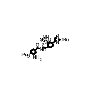 CC(C)Oc1ccc(C(=O)N[C@H](CNS(N)(=O)=O)Cc2ccc(-c3cn(C)c(C(C)(C)C)n3)cc2)cc1N